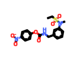 CCS(=O)(=O)N(C)c1cccc(CNC(=O)Oc2ccc([N+](=O)[O-])cc2)c1